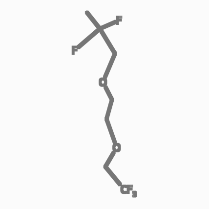 CC(F)(F)COCCOCC(F)(F)F